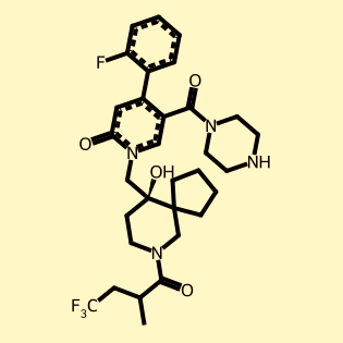 CC(CC(F)(F)F)C(=O)N1CC[C@](O)(Cn2cc(C(=O)N3CCNCC3)c(-c3ccccc3F)cc2=O)C2(CCCC2)C1